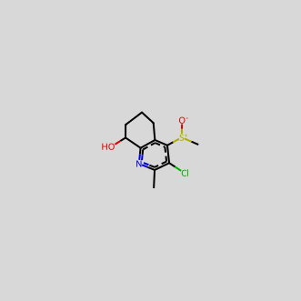 Cc1nc2c(c([S+](C)[O-])c1Cl)CCCC2O